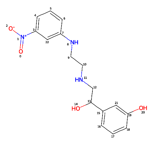 O=[N+]([O-])c1cccc(NCCNCC(O)c2cccc(O)c2)c1